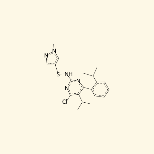 CC(C)c1ccccc1-c1nc(NSc2cnn(C)c2)nc(Cl)c1C(C)C